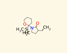 C=CC1CCN(C2([SiH](C)C)CCCCO2)C1=O